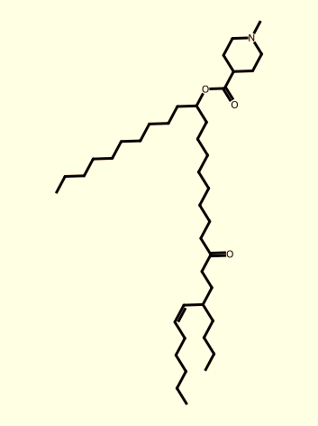 CCCCC/C=C\C(CCCC)CCC(=O)CCCCCCCCC(CCCCCCCCCC)OC(=O)C1CCN(C)CC1